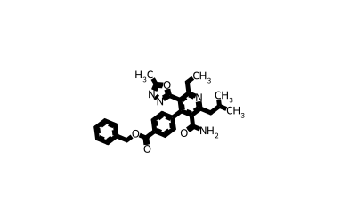 CCc1nc(CC(C)C)c(C(N)=O)c(-c2ccc(C(=O)OCc3ccccc3)cc2)c1-c1nnc(C)o1